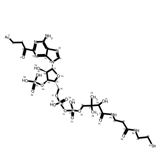 CC(=O)CCC(=O)c1nc(N)c2ncn([C@@H]3O[C@H](COP(=O)(O)OP(=O)(O)OCC(C)(C)C(O)C(=O)NCCC(=O)NCCS)[C@@H](OP(=O)(O)O)[C@H]3O)c2n1